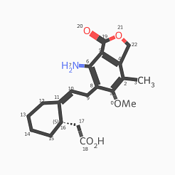 COc1c(C)c2c(c(N)c1CC=C1CCCC[C@H]1CC(=O)O)C(=O)OC2